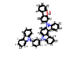 c1cc(-n2c3ccccc3c3ccccc32)cc(-n2c3ccccc3c3c4c5ccccc5n(-c5ccc6c(c5)oc5ccccc56)c4ccc32)c1